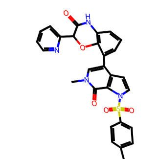 Cc1ccc(S(=O)(=O)n2ccc3c(-c4cccc5c4OC(c4ccccn4)C(=O)N5)cn(C)c(=O)c32)cc1